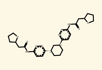 O=C(CC1CCCO1)Nc1ccc([C@H]2CCC[C@H](c3ccc(NC(=O)CC4CCCO4)nn3)C2)nn1